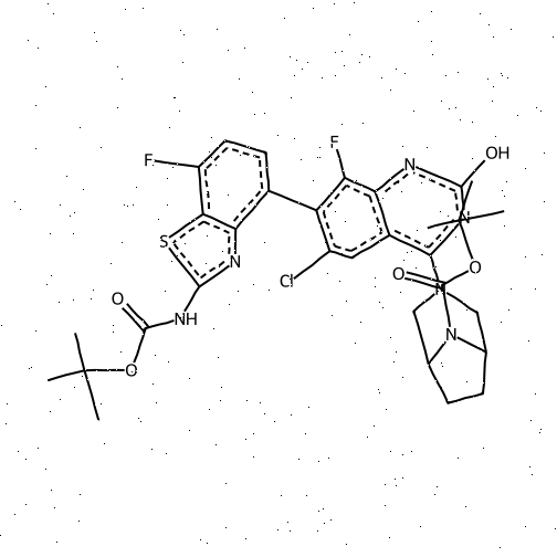 CC(C)(C)OC(=O)Nc1nc2c(-c3c(Cl)cc4c(N5CC6CCC(C5)N6C(=O)OC(C)(C)C)nc(O)nc4c3F)ccc(F)c2s1